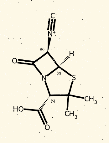 [C-]#[N+][C@@H]1C(=O)N2[C@@H]1SC(C)(C)[C@@H]2C(=O)O